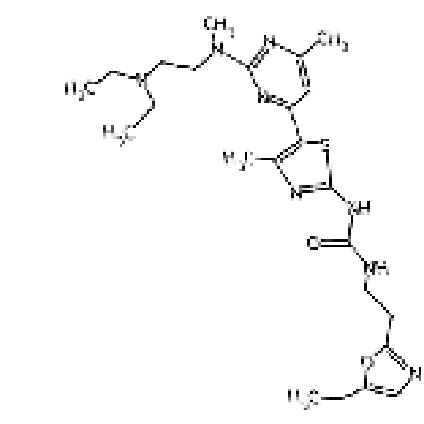 CCc1cnc(CCNC(=O)Nc2nc(C)c(-c3cc(C)nc(N(C)CCN(CC)CC)n3)s2)o1